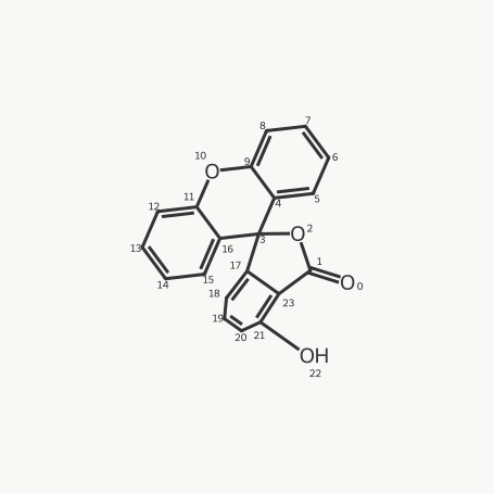 O=C1OC2(c3ccccc3Oc3ccccc32)c2cccc(O)c21